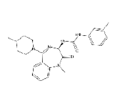 Cc1cccc(NC(=O)N[C@@H]2N=C(N3CCC(C)CC3)c3ccccc3N(C)C2=O)c1